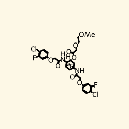 COCCOCC(=O)O[C@@H]1CC2(NC(=O)COc3ccc(Cl)c(F)c3)CCC1(NC(=O)COc1ccc(Cl)c(F)c1)CC2